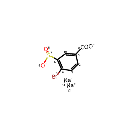 O=C([O-])c1ccc(Br)c(S(=O)[O-])c1.[Na+].[Na+]